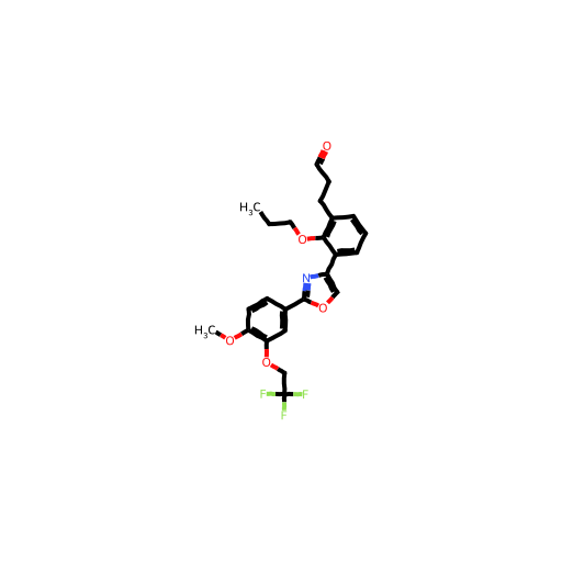 CCCOc1c(CCC=O)cccc1-c1coc(-c2ccc(OC)c(OCC(F)(F)F)c2)n1